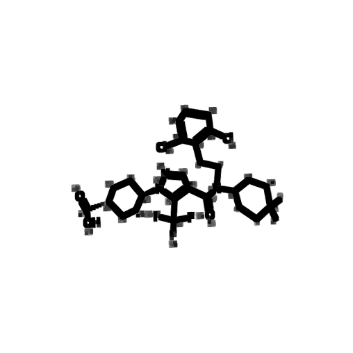 CC1(C)CCC(N(CCc2c(Cl)cccc2Cl)C(=O)c2cnn([C@H]3CC[C@H](C(=O)O)CC3)c2C(F)(F)F)CC1